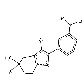 CC(=O)c1c(-c2cccc(N(C)S)c2)sc2c1CC(C)(C)CC2